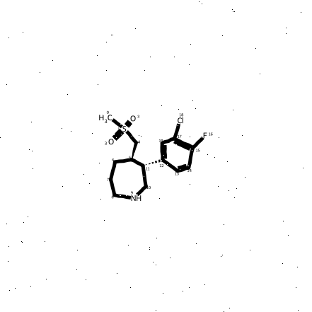 CS(=O)(=O)C[C@@H]1CCCNC[C@H]1c1ccc(F)c(Cl)c1